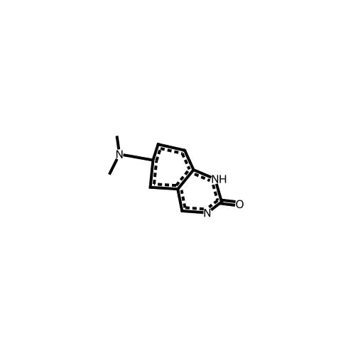 CN(C)c1ccc2[nH]c(=O)ncc2c1